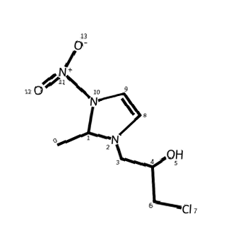 CC1N(CC(O)CCl)C=CN1[N+](=O)[O-]